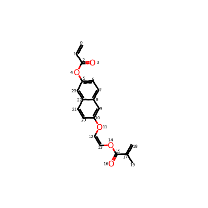 C=CC(=O)Oc1ccc2cc(O/C=C\OC(=O)C(=C)C)ccc2c1